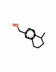 CC1CCCc2cc(CO)ccc21